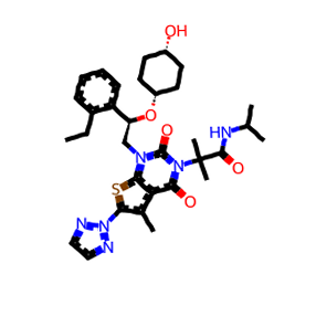 CCc1ccccc1[C@H](Cn1c(=O)n(C(C)(C)C(=O)NC(C)C)c(=O)c2c(C)c(-n3nccn3)sc21)O[C@H]1CC[C@@H](O)CC1